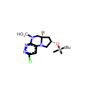 CC(C)(C)[Si](C)(C)O[C@H]1C[C@@H]2CN(C(=O)O)c3nnc(Cl)cc3N2C1